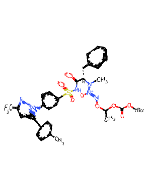 Cc1ccc(-c2cc(C(F)(F)F)nn2-c2ccc(S(=O)(=O)NC(=O)[C@H](Cc3ccccc3)N(C)[N+]([O-])=NOC(C)OC(=O)OC(C)(C)C)cc2)cc1